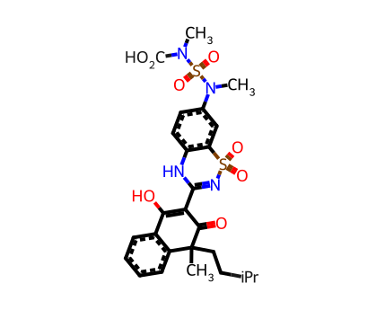 CC(C)CCC1(C)C(=O)C(C2=NS(=O)(=O)c3cc(N(C)S(=O)(=O)N(C)C(=O)O)ccc3N2)=C(O)c2ccccc21